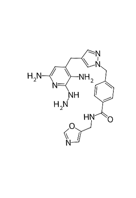 NNc1nc(N)cc(Cc2cnn(Cc3ccc(C(=O)NCc4cnco4)cc3)c2)c1N